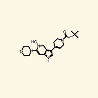 CC(C)(C)OC(=O)N1CC=C(c2c[nH]c3c2CN(O)C(N2CCOCC2)=C3)CC1